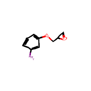 Pc1cccc(OCC2CO2)c1